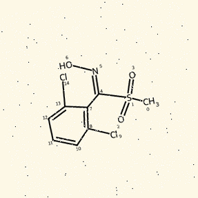 CS(=O)(=O)/C(=N/O)c1c(Cl)cccc1Cl